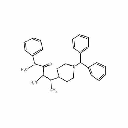 CC(C(N)C(=O)N(C)c1ccccc1)N1CCN(C(c2ccccc2)c2ccccc2)CC1